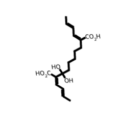 CC=CC=C(CCCCCC(O)(O)C(=CC=CC)C(=O)O)C(=O)O